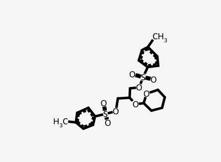 Cc1ccc(S(=O)(=O)OCC(COS(=O)(=O)c2ccc(C)cc2)OC2CCCCO2)cc1